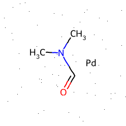 CN(C)C=O.[Pd]